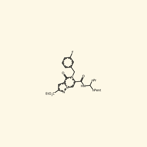 CCCCCC(CCC)NC(=O)c1cn2nc(C(=O)OCC)cc2c(=O)n1Cc1cccc(F)c1